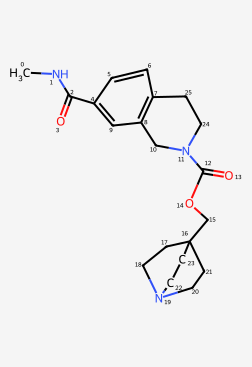 CNC(=O)c1ccc2c(c1)CN(C(=O)OCC13CCN(CC1)CC3)CC2